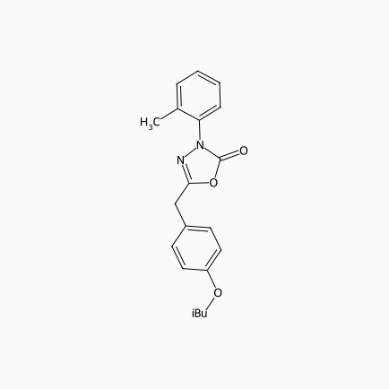 CCC(C)Oc1ccc(Cc2nn(-c3ccccc3C)c(=O)o2)cc1